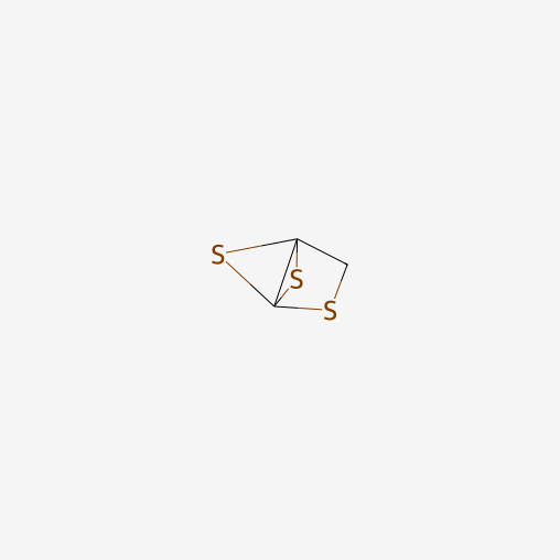 C1SC23SC12S3